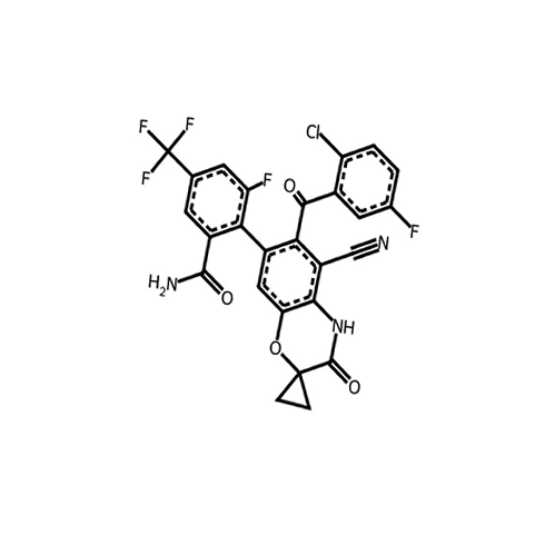 N#Cc1c2c(cc(-c3c(F)cc(C(F)(F)F)cc3C(N)=O)c1C(=O)c1cc(F)ccc1Cl)OC1(CC1)C(=O)N2